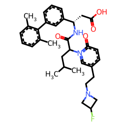 Cc1cccc(C)c1-c1cccc([C@H](CC(=O)O)NC(=O)C(CC(C)C)n2cc(CCN3CC(F)C3)ccc2=O)c1